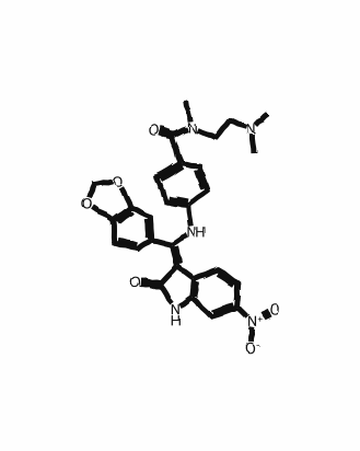 CN(C)CCN(C)C(=O)c1ccc(NC(=C2C(=O)Nc3cc([N+](=O)[O-])ccc32)c2ccc3c(c2)OCO3)cc1